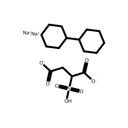 C1CCC(C2CCCCC2)CC1.O=C([O-])CC(C(=O)[O-])S(=O)(=O)O.[Na+].[Na+]